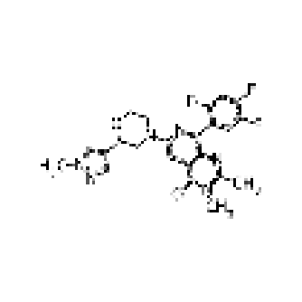 Cc1nc2c(-c3cc(F)c(F)cc3F)nc(N3CCO[C@H](c4cnn(C)c4)C3)cc2c(=O)n1C